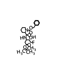 CC(C)(C)OC(=O)CC(NC(=O)C1CCCCN1C(=O)OCc1ccccc1)C(O)CF